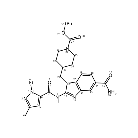 CCn1nc(C)cc1C(=O)Nc1nc2cc(C(N)=O)ccc2n1CC1CCN(C(=O)OC(C)(C)C)CC1